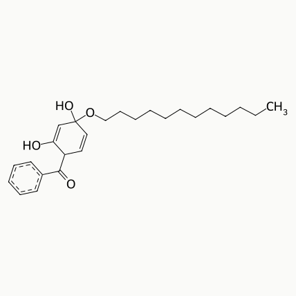 CCCCCCCCCCCCOC1(O)C=CC(C(=O)c2ccccc2)C(O)=C1